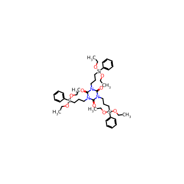 CCO[Si](CCCn1c(=O)n(CCC[Si](OCC)(OCC)c2ccccc2)c(=O)n(CCC[Si](OCC)(OCC)c2ccccc2)c1=O)(OCC)c1ccccc1